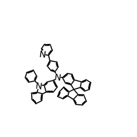 c1ccc(-n2c3ccccc3c3ccc(N(c4ccc(-c5ccccn5)cc4)c4ccc5c(c4)C4(c6ccccc6-c6ccccc64)c4ccccc4-5)cc32)cc1